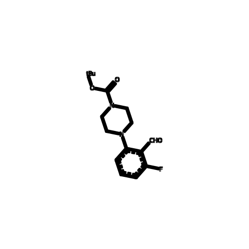 CC(C)(C)OC(=O)N1CCN(c2cccc(F)c2C=O)CC1